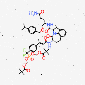 C/C(=C\C(=O)N[C@H]1CCc2cccc3c2N(C1=O)[C@H](C(=O)N[C@@H](CCC(N)=O)[C@@H](C)OCc1ccc(C(C)C)cc1)C3)c1ccc(C(F)(F)P(=O)(OCOC(=O)C(C)(C)C)OCOC(=O)C(C)(C)C)cc1